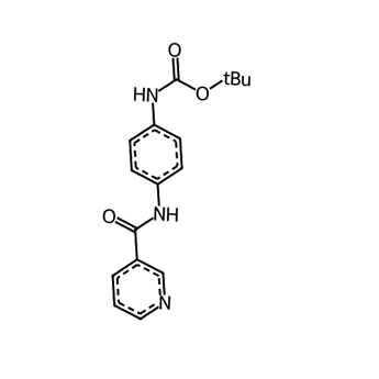 CC(C)(C)OC(=O)Nc1ccc(NC(=O)c2cccnc2)cc1